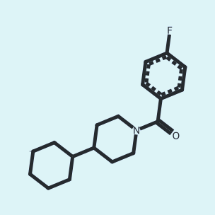 O=C(c1ccc(F)cc1)N1CCC(C2C[CH]CCC2)CC1